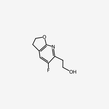 OCCc1nc2c(cc1F)CCO2